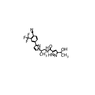 CC(O)c1cc(C(=O)NCC(C)n2ccc(-c3ccc(C#N)c(C(F)(F)F)c3)n2)[nH]n1